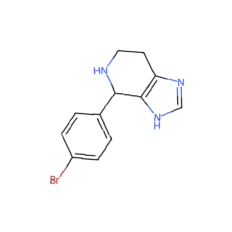 Brc1ccc(C2NCCc3nc[nH]c32)cc1